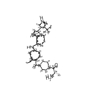 Cc1cc(Nc2nccn3c(-c4c[nH]nc4C(F)(F)F)cnc23)ccc1C(=O)N1CCN(C(=O)[C@H](C)N)CC1